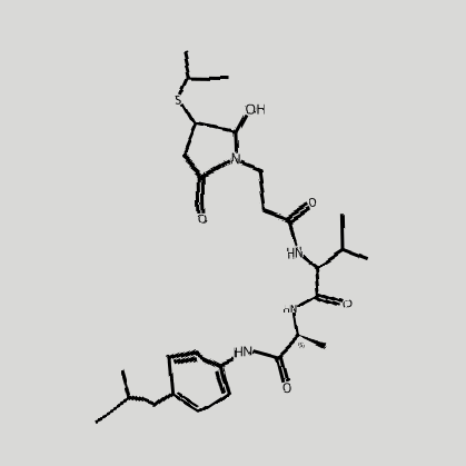 CC(C)Cc1ccc(NC(=O)[C@H](C)NC(=O)C(NC(=O)CCN2C(=O)CC(SC(C)C)C2O)C(C)C)cc1